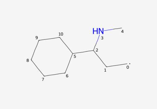 [CH2]CC(NC)C1CCCCC1